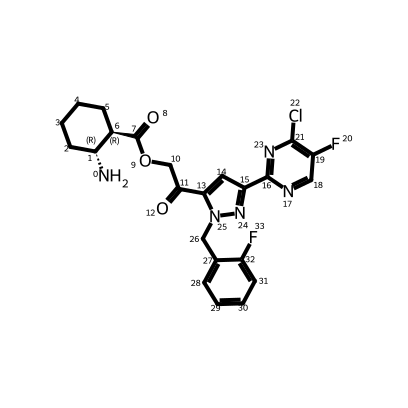 N[C@@H]1CCCC[C@H]1C(=O)OCC(=O)c1cc(-c2ncc(F)c(Cl)n2)nn1Cc1ccccc1F